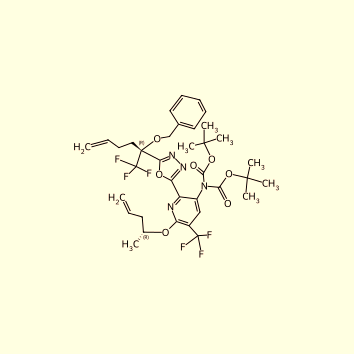 C=CCC[C@@](OCc1ccccc1)(c1nnc(-c2nc(O[C@H](C)CC=C)c(C(F)(F)F)cc2N(C(=O)OC(C)(C)C)C(=O)OC(C)(C)C)o1)C(F)(F)F